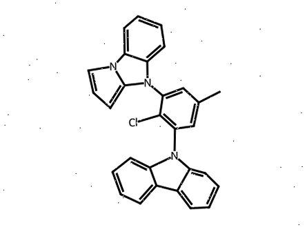 Cc1cc(-n2c3ccccc3c3ccccc32)c(Cl)c(-n2c3ccccc3n3cccc23)c1